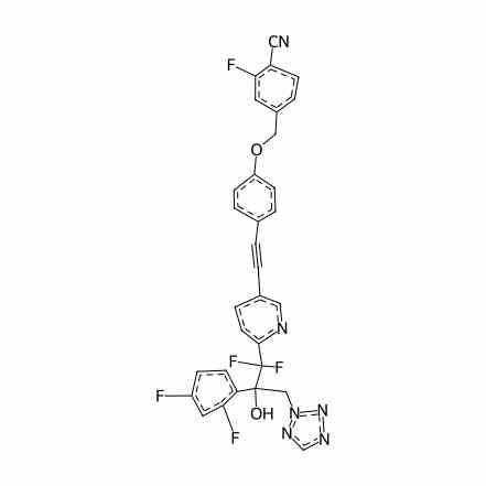 N#Cc1ccc(COc2ccc(C#Cc3ccc(C(F)(F)C(O)(Cn4ncnn4)c4ccc(F)cc4F)nc3)cc2)cc1F